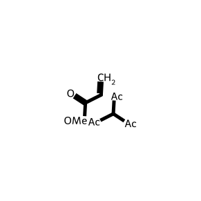 C=CC(=O)OC.CC(=O)C(C(C)=O)C(C)=O